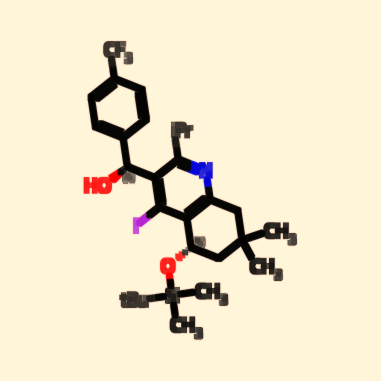 CC(C)c1nc2c(c(I)c1[C@@H](O)c1ccc(C(F)(F)F)cc1)[C@@H](O[Si](C)(C)C(C)(C)C)CC(C)(C)C2